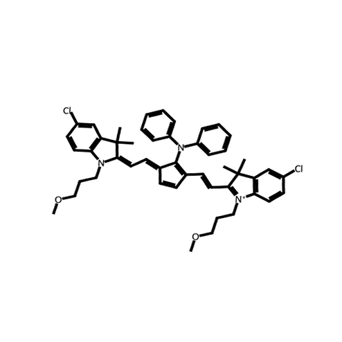 COCCCN1/C(=C/C=C2\C=CC(/C=C/C3=[N+](CCCOC)c4ccc(Cl)cc4C3(C)C)=C2N(c2ccccc2)c2ccccc2)C(C)(C)c2cc(Cl)ccc21